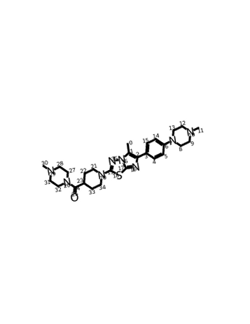 Cc1c(-c2ccc(N3CCN(C)CC3)cc2)nc2sc(N3CCC(C(=O)N4CCN(C)CC4)CC3)nn12